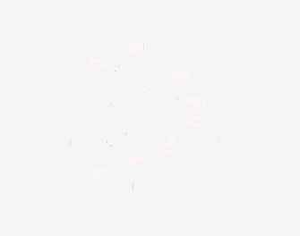 COC(=O)C1(C(=O)O)C=C(N(C)S(C)(=O)=O)C=C(C(=O)O)C1